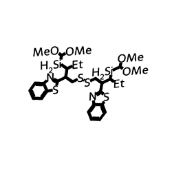 CCC([SiH2]C(OC)OC)C(CSSCC(c1nc2ccccc2s1)C(CC)[SiH2]C(OC)OC)c1nc2ccccc2s1